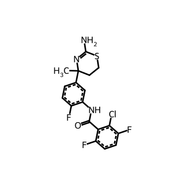 CC1(c2ccc(F)c(NC(=O)c3c(F)ccc(F)c3Cl)c2)CCSC(N)=N1